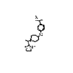 COC(C)c1ccc(OC2CCN(C(C)C3=[N+](C)CCS3)CC2)cc1